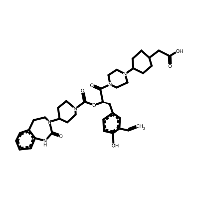 C=Cc1cc(C[C@@H](OC(=O)N2CCC(N3CCc4ccccc4NC3=O)CC2)C(=O)N2CCN(C3CCC(CC(=O)O)CC3)CC2)ccc1O